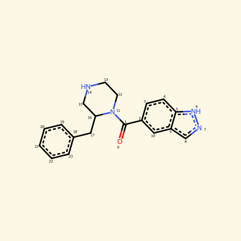 O=C(c1ccc2[nH]ncc2c1)N1CCNCC1Cc1ccccc1